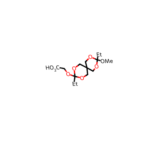 CCC1(OC)OCC2(CO1)COC(CC)(OCC(=O)O)OC2